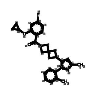 Cc1cc(C2CC3(C2)CN(C(=O)c2ccc(F)cc2OC2CC2)C3)n(-c2ccccc2C)n1